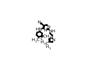 Cc1cnn(CCNc2ncc(C#N)c(N[C@@H]3CC[C@H](C)C(C)(C)C3)n2)c1